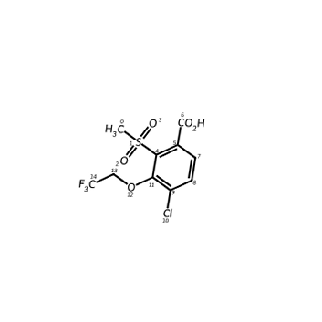 CS(=O)(=O)c1c(C(=O)O)ccc(Cl)c1OCC(F)(F)F